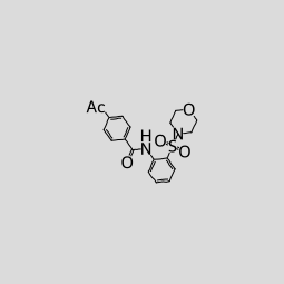 CC(=O)c1ccc(C(=O)Nc2ccccc2S(=O)(=O)N2CCOCC2)cc1